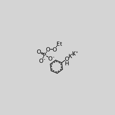 CCOOP(=O)([O-])[O-].Oc1ccccc1.[K+].[K+]